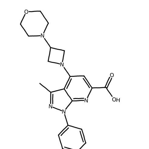 Cc1nn(-c2ccccc2)c2nc(C(=O)O)cc(N3CC(N4CCOCC4)C3)c12